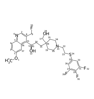 COc1ccc2ncc(CF)c([C@H](O)CCC3(CO)CCN(CCSc4cc(F)c(F)c(F)c4)CC3)c2c1